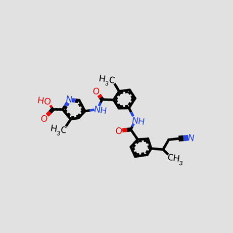 Cc1ccc(NC(=O)c2cccc(C(C)CC#N)c2)cc1C(=O)Nc1cnc(C(=O)O)c(C)c1